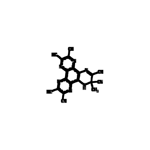 CC1(C#N)Nc2c(c3nc(C#N)c(C#N)nc3c3nc(C#N)c(C#N)nc23)N=C1C#N